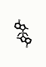 CC[Si](CC)(C1C(C)=Cc2c(Br)cccc21)C1C(C)=Cc2c(Br)cccc21